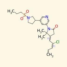 C=C/C=C(Cl)\C=C1/CC(=O)N(c2cncc(C3CCN(S(=O)(=O)CCC)C3)c2)C1(C)C